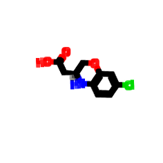 O=C(O)C[C@H]1COc2cc(Cl)ccc2N1